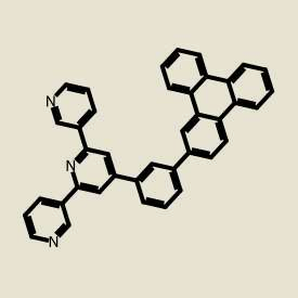 c1cc(-c2cc(-c3cccnc3)nc(-c3cccnc3)c2)cc(-c2ccc3c4ccccc4c4ccccc4c3c2)c1